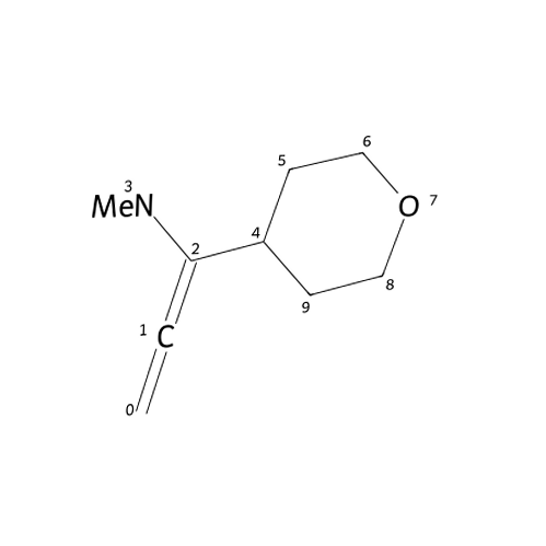 C=C=C(NC)C1CCOCC1